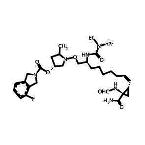 CCCN(CC)C(=O)N[C@@H](CCCCC/C=C\[C@@H]1C[C@]1(NC=O)C(N)=O)CON1C[C@H](OC(=O)N2Cc3cccc(F)c3C2)CC1C